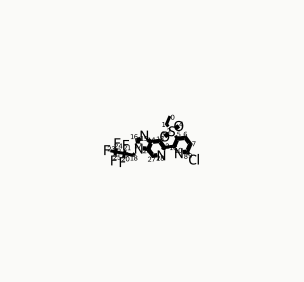 CCS(=O)(=O)c1ccc(Cl)nc1-c1cc2ncn(CC(F)(F)C(F)(F)F)c2cn1